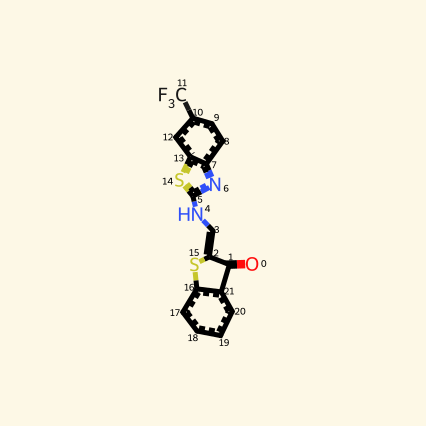 O=C1/C(=C/Nc2nc3ccc(C(F)(F)F)cc3s2)Sc2ccccc21